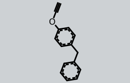 C#COc1ccc(Cc2ccccc2)cc1